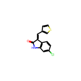 O=C1Nc2cc(Cl)ccc2/C1=C\c1ccsc1